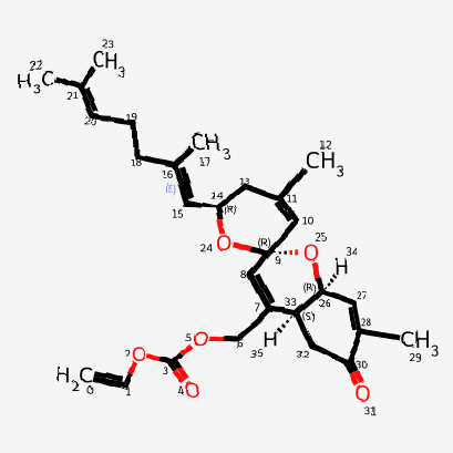 C=COC(=O)OCC1=C[C@@]2(C=C(C)C[C@H](/C=C(\C)CCC=C(C)C)O2)O[C@H]2C=C(C)C(=O)C[C@@H]12